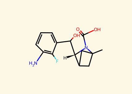 CC12CC(C1)[C@H](C(O)c1cccc(N)c1F)N2C(=O)O